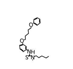 CCCCCN(C)C(=S)Nc1cccc(OCCCCCOc2ccccc2)c1